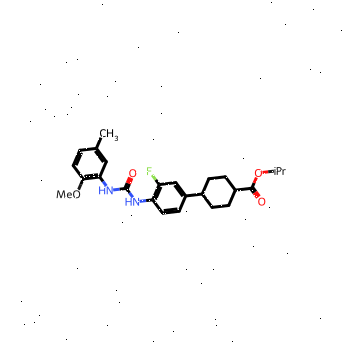 COc1ccc(C)cc1NC(=O)Nc1ccc(C2CCC(C(=O)OC(C)C)CC2)cc1F